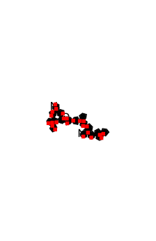 c1cncc(N(c2cccc(-c3ccc4c(c3)c3ccccc3n4-c3ccc(-c4ccc5c(c4)oc4c(-c6cccc(N(c7cccnc7)c7cccc(-c8ccc9c%10c(cccc8%10)-c8ccccc8-9)c7)c6)cccc45)cc3)c2)c2cccc(-c3ccc4c5c(cccc35)-c3ccccc3-4)c2)c1